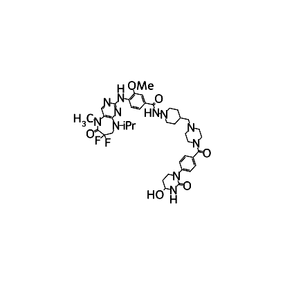 COc1cc(C(=O)NN2CCC(CN3CCN(C(=O)c4ccc(N5CCC(O)NC5=O)cc4)CC3)CC2)ccc1Nc1ncc2c(n1)N(C(C)C)CC(F)(F)C(=O)N2C